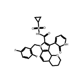 O=C(NS(=O)(=O)C1CC1)c1c(-c2ccc[nH]c2=O)c2c(n1Cc1cc(F)ccc1F)C=CC1CCCOC21